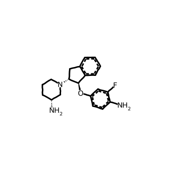 Nc1ccc(O[C@@H]2c3ccccc3C[C@H]2N2CCC[C@@H](N)C2)cc1F